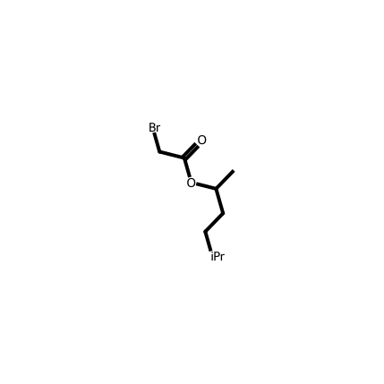 CC(C)CCC(C)OC(=O)CBr